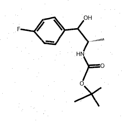 C[C@H](NC(=O)OC(C)(C)C)C(O)c1ccc(F)cc1